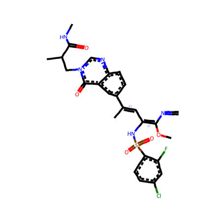 C=N/C(OC)=C(\C=C(/C)c1ccc2ncn(CC(C)C(=O)NC)c(=O)c2c1)NS(=O)(=O)c1ccc(Cl)cc1F